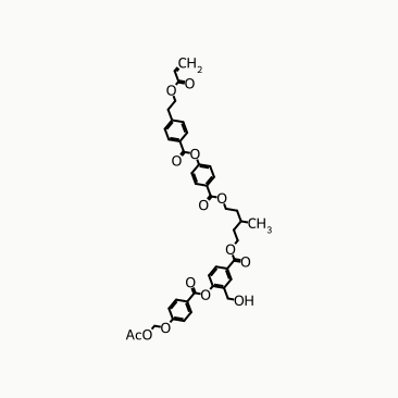 C=CC(=O)OCCc1ccc(C(=O)Oc2ccc(C(=O)OCCC(C)CCOC(=O)c3ccc(OC(=O)c4ccc(OCOC(C)=O)cc4)c(CO)c3)cc2)cc1